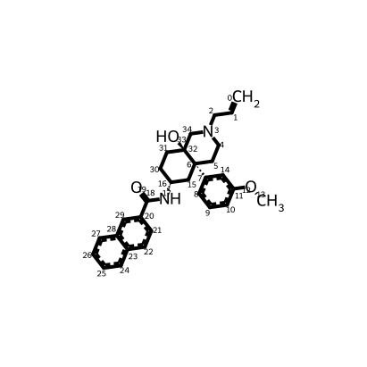 C=CCN1CC[C@@]2(c3cccc(OC)c3)C[C@H](NC(=O)c3ccc4ccccc4c3)CC[C@]2(O)C1